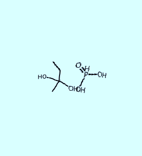 CCC(C)(O)O.O=[PH](O)O